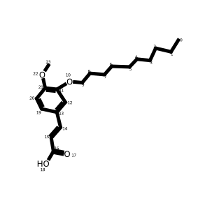 CCCCCCCCCCOc1cc(/C=C/C(=O)O)ccc1OC